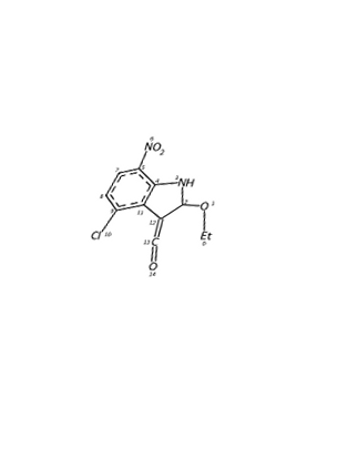 CCOC1Nc2c([N+](=O)[O-])ccc(Cl)c2C1=C=O